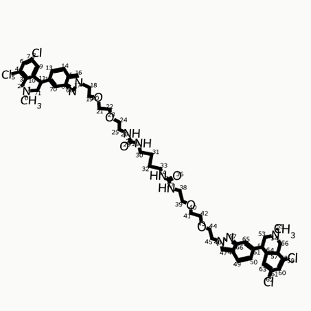 CN1Cc2c(Cl)cc(Cl)cc2C(c2ccc3cn(CCOCCOCCNC(=O)NCCCCNC(=O)NCCOCCOCCn4cc5ccc(C6CN(C)CC7C(Cl)=CC(Cl)=CC76)cc5n4)nc3c2)C1